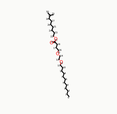 CCCCCCCCCCCCOCCOCCCC(=O)OCCCCCCCC(C)C